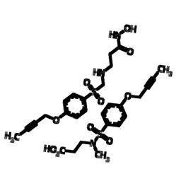 CC#CCOc1ccc(S(=O)(=O)CNCCC(=O)NO)cc1.CC#CCOc1ccc(S(=O)(=O)N(C)CCC(=O)O)cc1